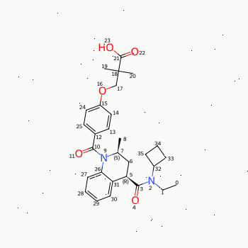 CCN(C(=O)[C@@H]1C[C@H](C)N(C(=O)c2ccc(OCC(C)(C)C(=O)O)cc2)c2ccccc21)C1CCC1